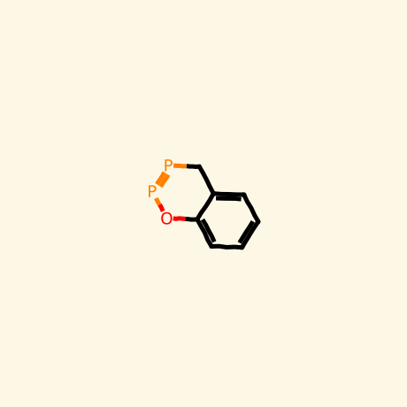 c1ccc2c(c1)CP=PO2